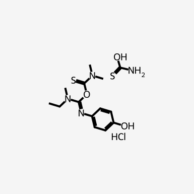 CCN(C)C(=Nc1ccc(O)cc1)OC(=S)N(C)C.Cl.NC(O)=S